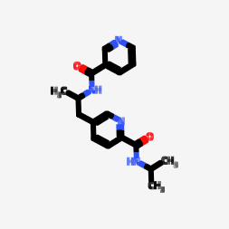 CC(C)NC(=O)c1ccc(CC(C)NC(=O)c2cccnc2)cn1